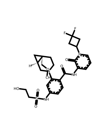 COC[C@]12CCN(c3cc(NS(=O)(=O)CCO)ccc3C(=O)Nc3cccn(C4CC(F)(F)C4)c3=O)C[C@H]1C2